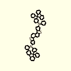 c1ccc(N(c2cccc(C3(c4ccccc4)c4ccccc4-c4ccccc43)c2)c2ccc3c(c2)sc2ccc4c(ccc5sc6cc(N(c7ccccc7)c7cccc(C8(c9ccccc9)c9ccccc9-c9ccccc98)c7)ccc6c54)c23)cc1